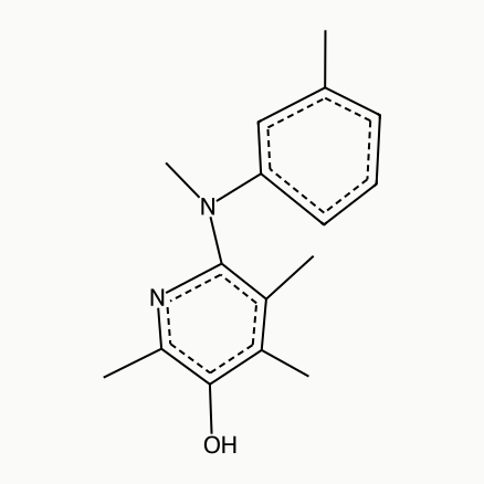 Cc1cccc(N(C)c2nc(C)c(O)c(C)c2C)c1